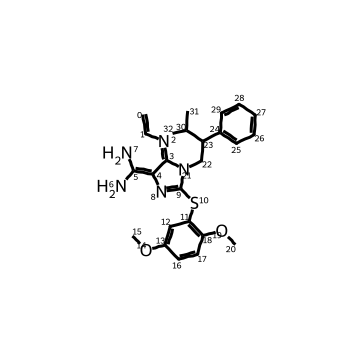 C=C/N=C1\C(=C(N)N)N=C(Sc2cc(OC)ccc2OC)N1CC(c1ccccc1)C(C)C